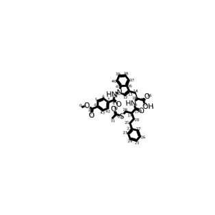 COC(=O)c1ccc(C(=O)Nn2cc(C[C@H](NC(=O)C(CCc3ccccc3)CSC(C)=O)C(=O)O)c3ccccc32)cc1